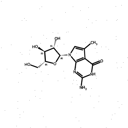 Cc1cn([C@@H]2O[C@H](CO)[C@@H](O)[C@@H]2O)c2nc(N)[nH]c(=O)c12